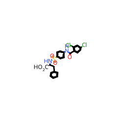 O=C(Nc1ccc(S(=O)(=O)N[C@@H](Cc2ccccc2)C(=O)O)cc1)c1ccc(Cl)cc1Cl